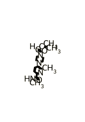 CNC(=O)c1ccc(N2CCN(C(=O)OC(C)(C)C)CC2)c(C)n1